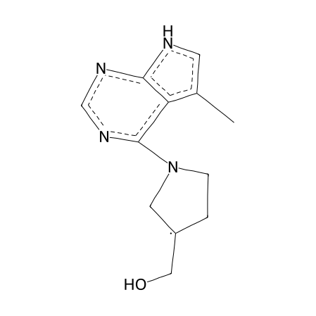 Cc1c[nH]c2ncnc(N3CC[C](CO)C3)c12